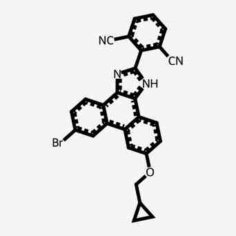 N#Cc1cccc(C#N)c1-c1nc2c3ccc(Br)cc3c3cc(OCC4CC4)ccc3c2[nH]1